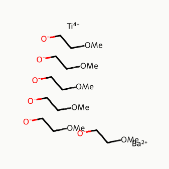 COCC[O-].COCC[O-].COCC[O-].COCC[O-].COCC[O-].COCC[O-].[Ba+2].[Ti+4]